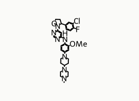 COc1cc(N2CCC(N3CCN(C)CC3)CC2)ccc1Nc1cc(N2OCCC2c2ccc(F)c(Cl)c2)ncn1